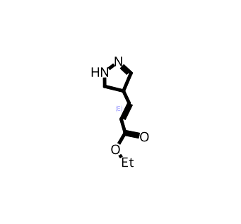 CCOC(=O)/C=C/C1C=NNC1